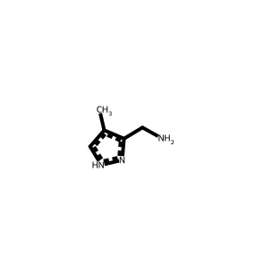 Cc1c[nH]nc1CN